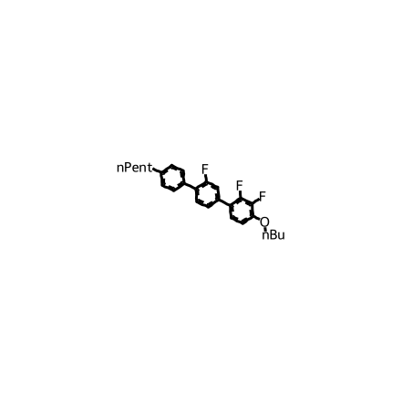 CCCCCc1ccc(-c2ccc(-c3ccc(OCCCC)c(F)c3F)cc2F)cc1